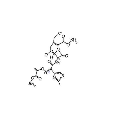 BOC(=O)C(=C)O/N=C(\C(=O)N[C@@H]1C(=O)N2C(C(=O)OB)=C(CCl)C[S+]([O-])[C@H]12)c1csc(C)n1